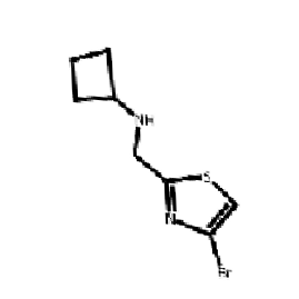 Brc1csc(CNC2CCC2)n1